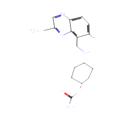 COc1cnc2ccc(F)c(CN[C@H]3CC[C@H](OC(N)=O)CC3)c2n1